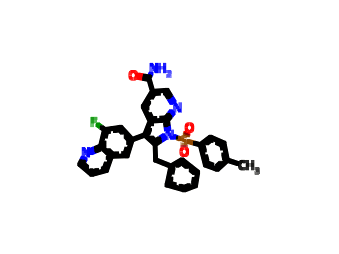 Cc1ccc(S(=O)(=O)n2c(Cc3ccccc3)c(-c3cc(F)c4ncccc4c3)c3cc(C(N)=O)cnc32)cc1